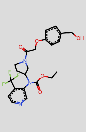 CCOC(=O)N(c1cnccc1C(F)(F)F)C1CCN(C(=O)COc2ccc(CO)cc2)C1